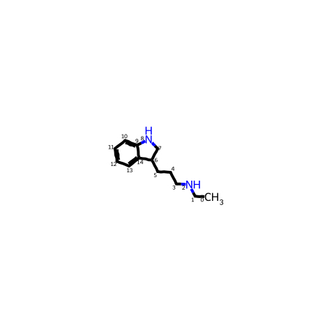 CCNCCCC1CNc2ccccc21